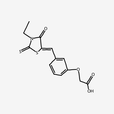 CCN1C(=O)/C(=C/c2cccc(OCC(=O)O)c2)SC1=S